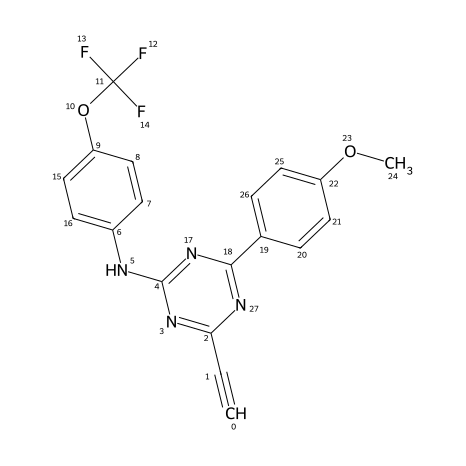 C#Cc1nc(Nc2ccc(OC(F)(F)F)cc2)nc(-c2ccc(OC)cc2)n1